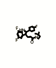 CC1(C)CCN1C(=O)CCc1c(-c2ccc(F)cc2)[nH]c2c(F)cc(F)cc12